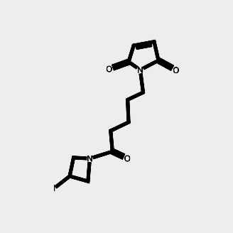 O=C(CCCCN1C(=O)C=CC1=O)N1CC(I)C1